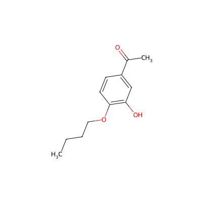 CCCCOc1ccc(C(C)=O)cc1O